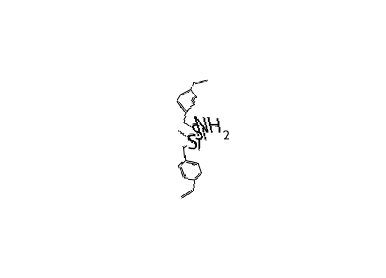 C=Cc1ccc(C[Si](C)(C)[Si](C)(N)Cc2ccc(C=C)cc2)cc1